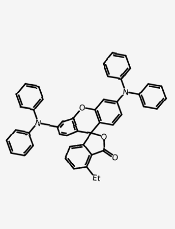 CCc1cccc2c1C(=O)OC21c2ccc(N(c3ccccc3)c3ccccc3)cc2Oc2cc(N(c3ccccc3)c3ccccc3)ccc21